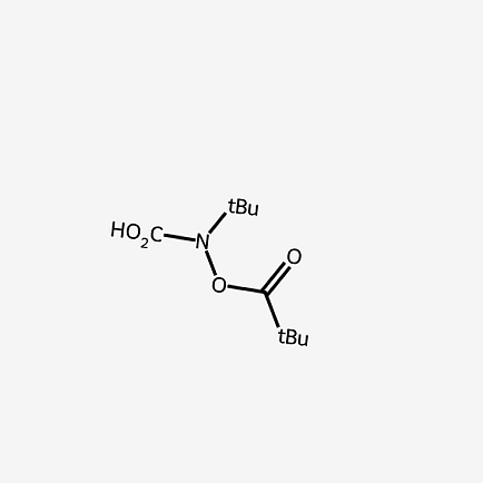 CC(C)(C)C(=O)ON(C(=O)O)C(C)(C)C